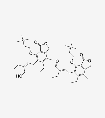 CC/C(=C/Cc1c(CC)c(C)c2c(c1OCC[Si](C)(C)C)C(=O)OC2)CO.CC/C(C=O)=C\Cc1c(CC)c(C)c2c(c1OCC[Si](C)(C)C)C(=O)OC2